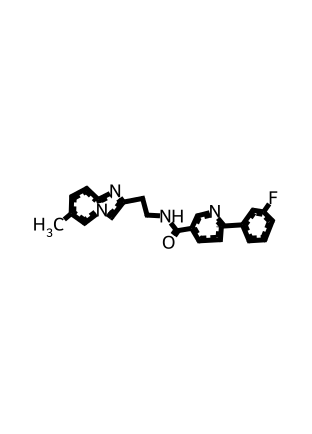 Cc1ccc2nc(CCNC(=O)c3ccc(-c4cccc(F)c4)nc3)cn2c1